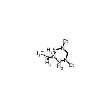 CCN1CN(CC)[SiH2]N([SiH2]C)[SiH2]1